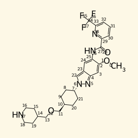 COc1cc2nn([C@H]3CC[C@H](COCC4CCNCC4)CC3)cc2cc1NC(=O)c1cccc(C(F)(F)F)n1